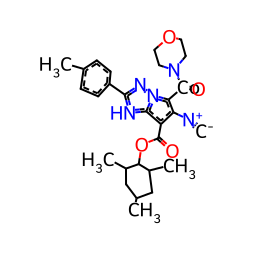 [C-]#[N+]c1c(C(=O)OC2C(C)CC(C)CC2C)c2[nH]c(-c3ccc(C)cc3)nn2[c]1[Co](=[O])[N]1CCOCC1